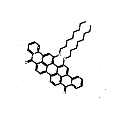 CCCCCCCCOc1cc2c3c(ccc4c5ccc6c7c(cc(OCCCCCCCC)c(c1c34)c75)-c1ccccc1C6=O)C(=O)c1ccccc1-2